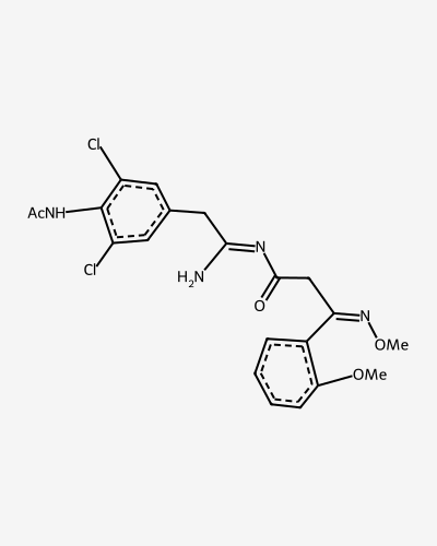 CO/N=C(/CC(=O)/N=C(\N)Cc1cc(Cl)c(NC(C)=O)c(Cl)c1)c1ccccc1OC